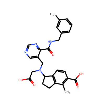 Cc1cccc(CNC(=O)c2ncncc2CN(CC(=O)O)C2CCc3c2ccc(C(=O)O)c3C)c1